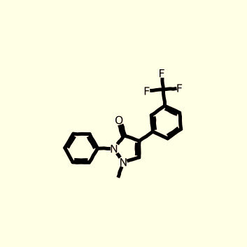 Cn1cc(-c2cccc(C(F)(F)F)c2)c(=O)n1-c1ccccc1